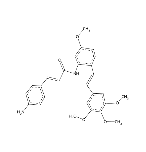 COc1ccc(/C=C/c2cc(OC)c(OC)c(OC)c2)c(NC(=O)/C=C/c2ccc(N)cc2)c1